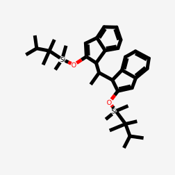 CC(C1C(O[Si](C)(C)C(C)(C)C(C)C)=Cc2ccccc21)C1C(O[Si](C)(C)C(C)(C)C(C)C)=Cc2ccccc21